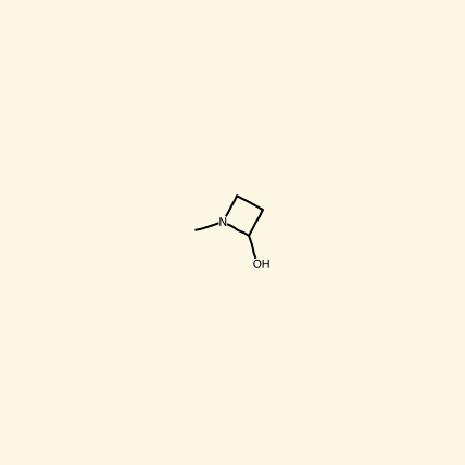 CN1CCC1O